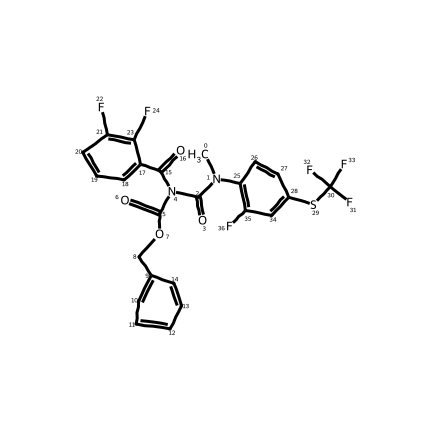 CN(C(=O)N(C(=O)OCc1ccccc1)C(=O)c1cccc(F)c1F)c1ccc(SC(F)(F)F)cc1F